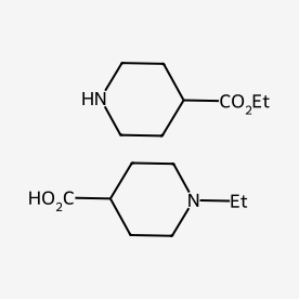 CCN1CCC(C(=O)O)CC1.CCOC(=O)C1CCNCC1